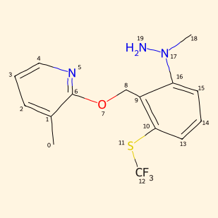 Cc1cccnc1OCc1c(SC(F)(F)F)cccc1N(C)N